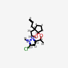 C=CCC12CCCC1(OC(C)c1cc(Cl)n(C)n1)OCC2